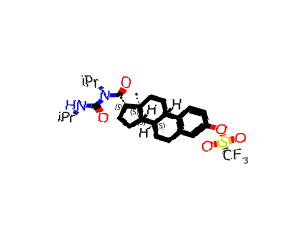 CC(C)NC(=O)N(C(=O)[C@H]1CC[C@H]2[C@@H]3CCc4cc(OS(=O)(=O)C(F)(F)F)ccc4[C@H]3CC[C@]12C)C(C)C